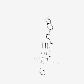 CCCCCC(CN(C=O)OCc1ccccc1)C(=O)NCNC(=O)c1ccc(-c2ccc3cnn(C)c3c2)o1